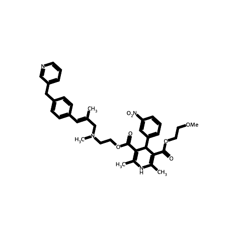 COCCOC(=O)C1=C(C)NC(C)=C(C(=O)OCCN(C)CC(C)=Cc2ccc(Cc3cccnc3)cc2)C1c1cccc([N+](=O)[O-])c1